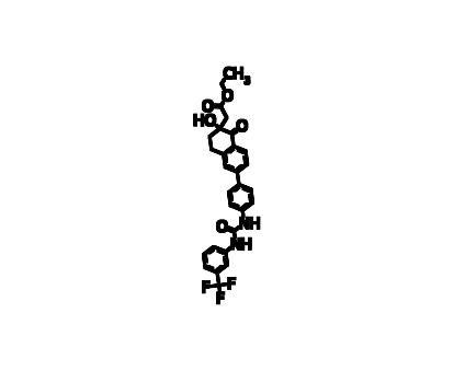 CCOC(=O)CC1(O)CCc2cc(-c3ccc(NC(=O)Nc4cccc(C(F)(F)F)c4)cc3)ccc2C1=O